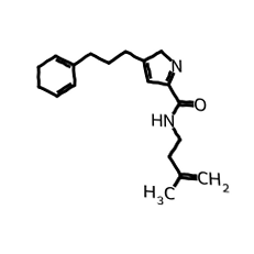 C=C(C)CCNC(=O)C1=NCC(CCCC2=CCCC=C2)=C1